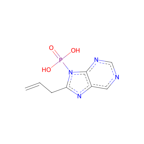 C=CCc1nc2cncnc2n1P(=O)(O)O